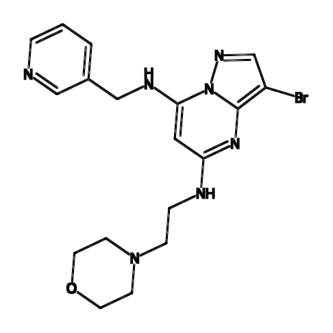 Brc1cnn2c(NCc3cccnc3)cc(NCCN3CCOCC3)nc12